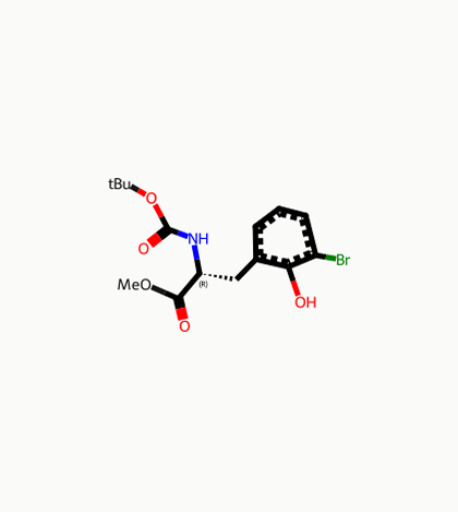 COC(=O)[C@@H](Cc1cccc(Br)c1O)NC(=O)OC(C)(C)C